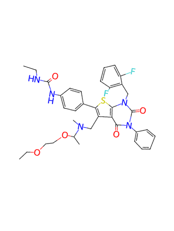 CCNC(=O)Nc1ccc(-c2sc3c(c2CN(C)C(C)OCCOCC)c(=O)n(-c2ccccc2)c(=O)n3Cc2c(F)cccc2F)cc1